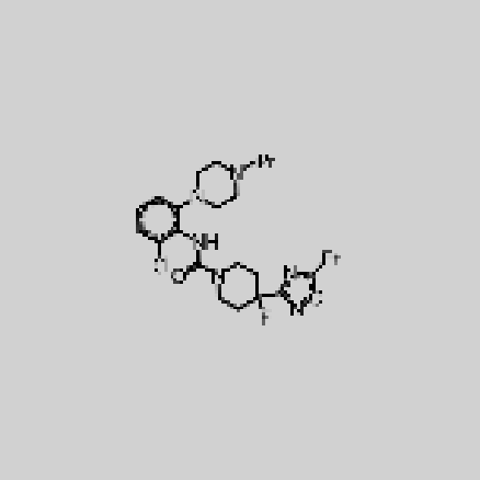 CCc1nc(C2(F)CCN(C(=O)Nc3c(Cl)cccc3N3CCN(C(C)C)CC3)CC2)no1